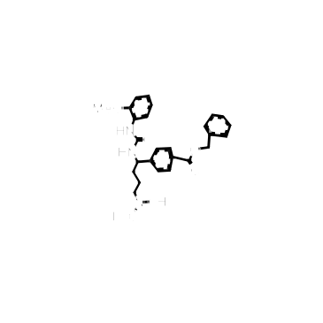 COc1ccccc1NC(=O)NC(CCCN(C)C)c1ccc(C(=O)OCc2ccccc2)cc1